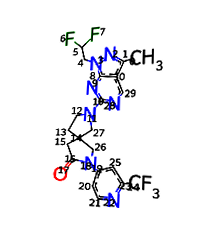 Cc1nn(CC(F)F)c2nc(N3CCC4(CC(=O)N(c5ccnc(C(F)(F)F)c5)C4)C3)ncc12